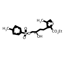 CCOC(=O)c1scc(C)c1CC[C@@H](O)COS(=O)(=O)c1ccc(C)cc1